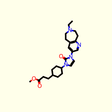 CCN1CCc2cc(-n3ccn(C4CCC(CCC(=O)OC)CC4)c3=O)cnc2CC1